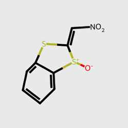 O=[N+]([O-])C=C1Sc2ccccc2[S+]1[O-]